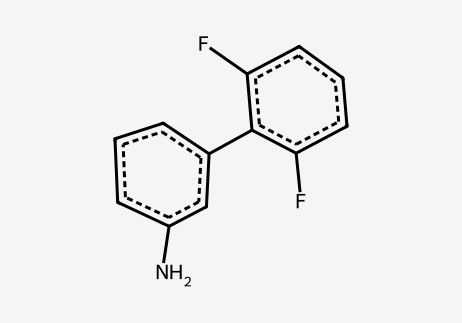 Nc1cccc(-c2c(F)cccc2F)c1